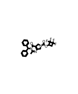 Cc1nc2c(c(=O)n1C(c1ccccc1)c1ccccc1)CN(C(=O)OC1CC(F)(F)C1(F)F)C2